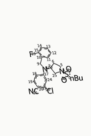 CCCCS(=O)(=O)N1CC[C@H](N(Cc2ccccc2F)c2ccc(C#N)c(Cl)c2)C1